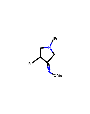 CO/N=C1\CN(C(C)C)CC1C(C)C